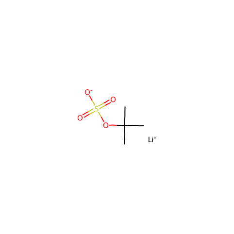 CC(C)(C)OS(=O)(=O)[O-].[Li+]